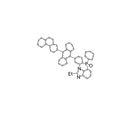 CCc1nc2cccc3c2n1-c1cc(-c2c4ccccc4c(-c4ccc5c(ccc6ccccc65)c4)c4ccccc24)ccc1P3(=O)c1ccccc1